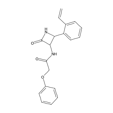 C=Cc1ccccc1C1NC(=O)C1NC(=O)COc1ccccc1